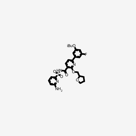 CC(C)COc1cc(F)cc(-c2ccc(C(=O)NS(=O)(=O)c3cccc(N)n3)c(OCC3CCCO3)n2)c1